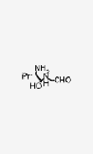 CC(C)[C@H](N)C(O)NCC=O